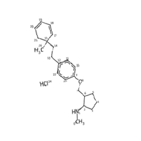 CNC1CCCC1COc1ccc(CCC2(C)C=CC=CC2)cc1.Cl